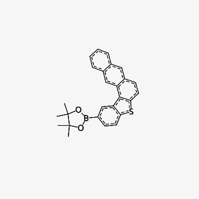 CC1(C)OB(c2ccc3sc4ccc5cc6ccccc6cc5c4c3c2)OC1(C)C